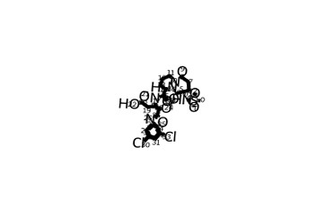 CS(=O)(=O)N[C@H]1CCC(=O)N2CCCC(C(=O)NC(CC(=O)O)C(=O)c3nc4cc(Cl)cc(Cl)c4o3)N2C1=O